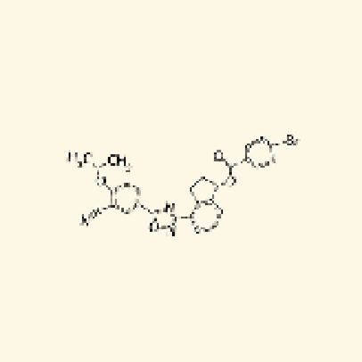 CC(C)Oc1ccc(-c2nc(-c3cccc4c3CCC4OC(=O)c3ccc(Br)cc3)no2)cc1C#N